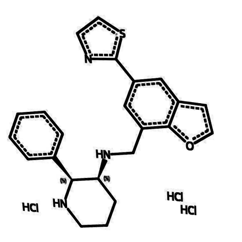 Cl.Cl.Cl.c1ccc([C@@H]2NCCC[C@@H]2NCc2cc(-c3nccs3)cc3ccoc23)cc1